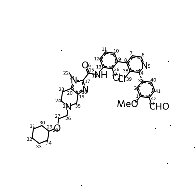 COc1cc(-c2nccc(-c3cccc(NC(=O)c4nc5c(n4C)CCN(CCOC4CCCCC4)C5)c3Cl)c2Cl)ccc1C=O